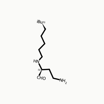 CC[C@H](C)CCCCCN[C@H](C=O)CCN